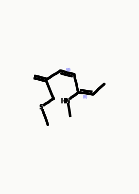 C=C(/C=C\C(=C/C)NC)CSC